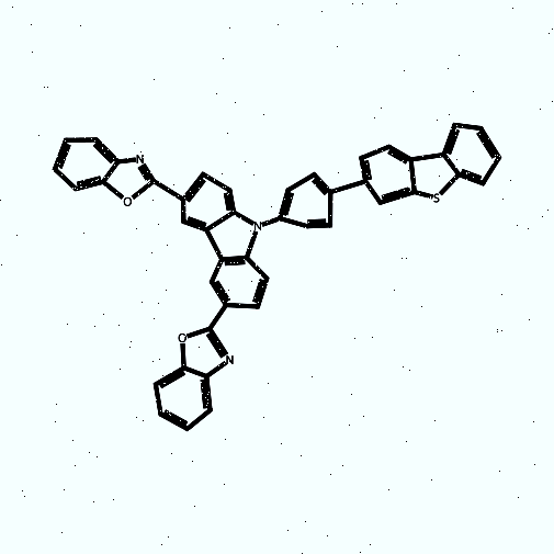 c1ccc2oc(-c3ccc4c(c3)c3cc(-c5nc6ccccc6o5)ccc3n4-c3ccc(-c4ccc5c(c4)sc4ccccc45)cc3)nc2c1